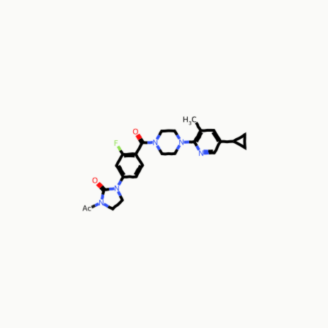 CC(=O)N1CCN(c2ccc(C(=O)N3CCN(c4ncc(C5CC5)cc4C)CC3)c(F)c2)C1=O